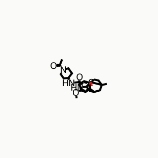 COc1ccc2c(c1)C1CC3(C)CC2CC(NC(=O)NC2CCN(C(C)=O)CC2)(C1)C3